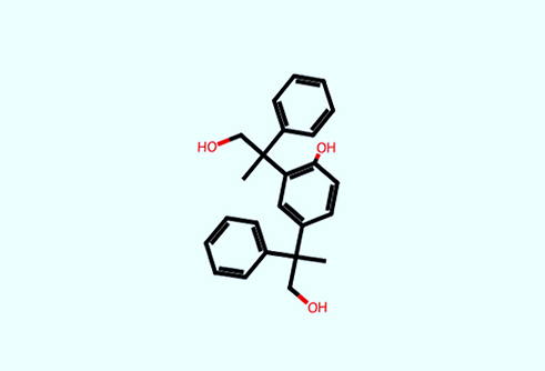 CC(CO)(c1ccccc1)c1ccc(O)c(C(C)(CO)c2ccccc2)c1